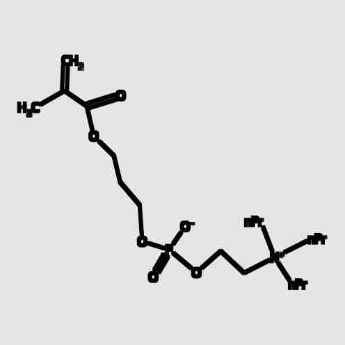 C=C(C)C(=O)OCCCOP(=O)([O-])OCC[N+](CCC)(CCC)CCC